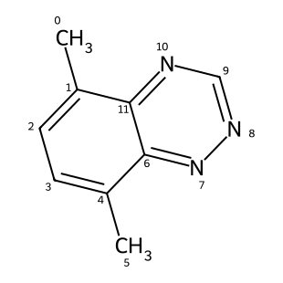 Cc1ccc(C)c2nncnc12